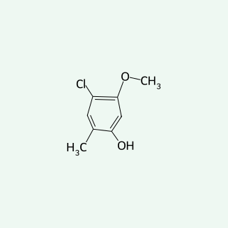 COc1cc(O)c(C)cc1Cl